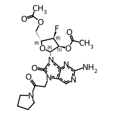 CC(=O)OC[C@H]1O[C@@H](n2c(=O)n(CC(=O)N3CCCC3)c3cnc(N)nc32)[C@H](OC(C)=O)[C@@H]1F